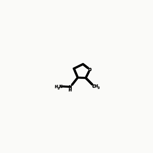 CC1OCCC1NN